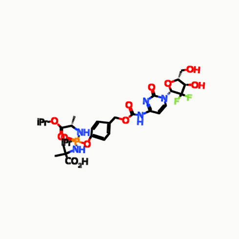 CC(C)OC(=O)[C@H](C)NP(=O)(NC(C)(C(=O)O)C(C)C)Oc1ccc(COC(=O)Nc2ccn([C@@H]3O[C@H](CO)[C@@H](O)C3(F)F)c(=O)n2)cc1